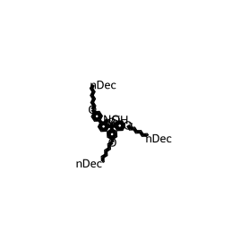 CCCCCCCCCCCCCCCCOc1ccc(-c2cccc(C(O[SiH3])(c3ccc(OCCCCCCCCCCCCCCCC)cc3)c3ccc(OCCCCCCCCCCCCCCCC)cc3)c2[N+](=O)[O-])cc1